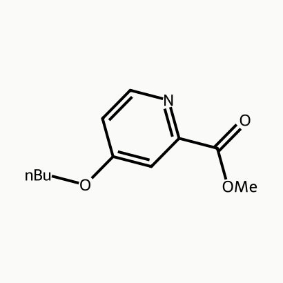 CCCCOc1ccnc(C(=O)OC)c1